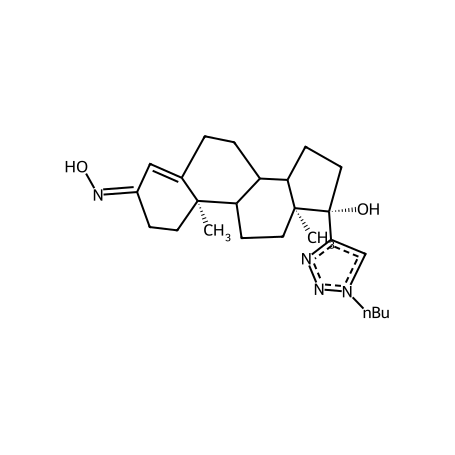 CCCCn1cc([C@]2(O)CCC3C4CCC5=C/C(=N\O)CC[C@]5(C)C4CC[C@@]32C)nn1